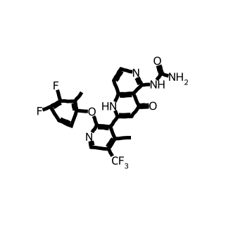 Cc1c(Oc2ncc(C(F)(F)F)c(C)c2-c2cc(=O)c3c(NC(N)=O)nccc3[nH]2)ccc(F)c1F